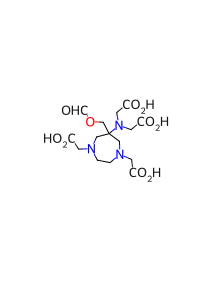 O=COCC1(N(CC(=O)O)CC(=O)O)CN(CC(=O)O)CCN(CC(=O)O)C1